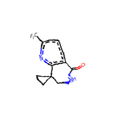 O=C1NCC2(CC2)c2nc(C(F)(F)F)ccc21